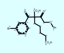 CC(C)OCC(=O)C(CCCCC(=O)O)(C(=O)O)C(=O)c1cncc(Br)c1